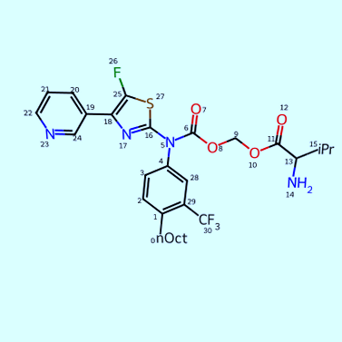 CCCCCCCCc1ccc(N(C(=O)OCOC(=O)C(N)C(C)C)c2nc(-c3cccnc3)c(F)s2)cc1C(F)(F)F